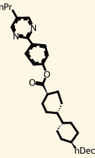 CCCCCCCCCC[C@H]1CC[C@H]([C@H]2CC[C@H](C(=O)Oc3ccc(-c4ncc(CCC)cn4)cc3)CC2)CC1